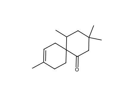 CC1=CCC2(CC1)C(=O)CC(C)(C)CC2C